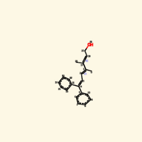 CC(=C\C=C(c1ccccc1)c1ccccc1)/C(C)=C/CO